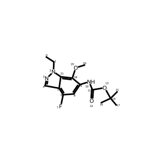 CCn1ncc2c(F)cc(NC(=O)OC(C)(C)C)c(OC)c21